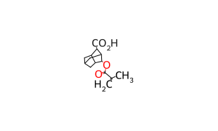 C=C(C)C(=O)OC1C2CC3CC2C(C(=O)O)C1C3